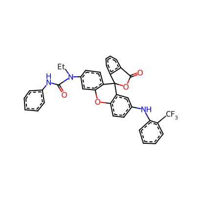 CCN(C(=O)Nc1ccccc1)c1ccc2c(c1)Oc1ccc(Nc3ccccc3C(F)(F)F)cc1C21OC(=O)c2ccccc21